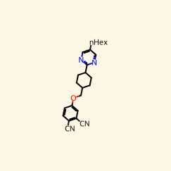 CCCCCCc1cnc(C2CCC(COc3ccc(C#N)c(C#N)c3)CC2)nc1